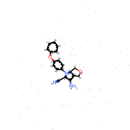 N#Cc1c(N)c2c(n1-c1ccc(Oc3ccccc3)cc1)COC2